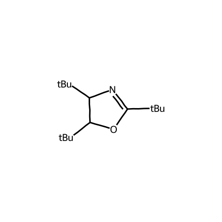 CC(C)(C)C1=NC(C(C)(C)C)C(C(C)(C)C)O1